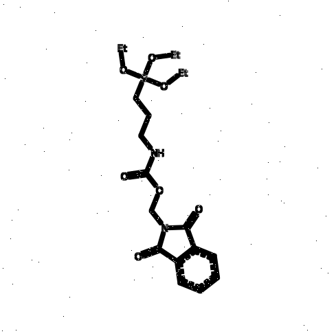 CCO[Si](CCCNC(=O)OCN1C(=O)c2ccccc2C1=O)(OCC)OCC